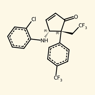 O=C1C=C[C@@H](Nc2ccccc2Cl)[C@@]1(CC(F)(F)F)c1ccc(C(F)(F)F)cc1